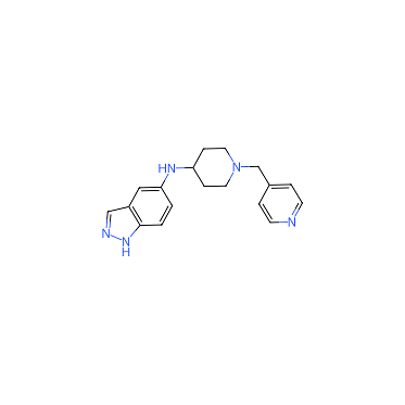 c1cc(CN2CCC(Nc3ccc4[nH]ncc4c3)CC2)ccn1